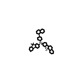 CC1(C)c2ccccc2-c2ccc(N(c3ccc(-c4cccc5ccccc45)cc3)c3ccc4c(c3)sc3c5ccccc5ccc43)cc21